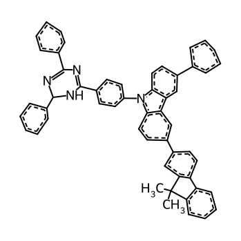 CC1(C)c2ccccc2-c2ccc(-c3ccc4c(c3)c3cc(-c5ccccc5)ccc3n4-c3ccc(C4=NC(c5ccccc5)=NC(c5ccccc5)N4)cc3)cc21